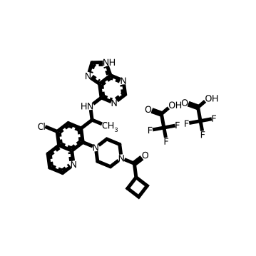 CC(Nc1ncnc2[nH]cnc12)c1cc(Cl)c2cccnc2c1N1CCN(C(=O)C2CCC2)CC1.O=C(O)C(F)(F)F.O=C(O)C(F)(F)F